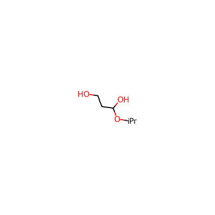 CC(C)OC(O)CCO